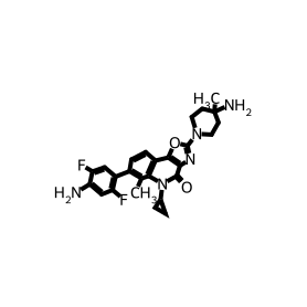 Cc1c(-c2cc(F)c(N)cc2F)ccc2c3oc(N4CCC(C)(N)CC4)nc3c(=O)n(C3CC3)c12